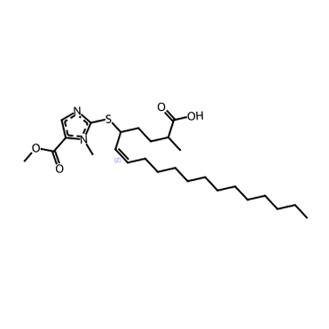 CCCCCCCCCCCC/C=C\C(CCC(C)C(=O)O)Sc1ncc(C(=O)OC)n1C